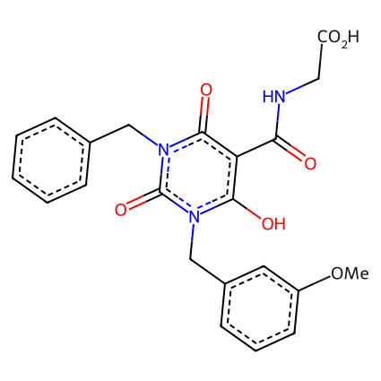 COc1cccc(Cn2c(O)c(C(=O)NCC(=O)O)c(=O)n(Cc3ccccc3)c2=O)c1